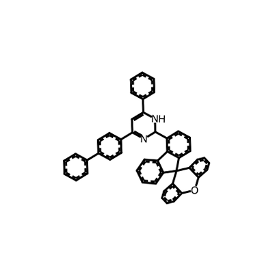 C1=C(c2ccccc2)NC(c2cccc3c2-c2ccccc2C32c3ccccc3Oc3ccccc32)N=C1c1ccc(-c2ccccc2)cc1